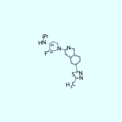 Cc1nnc(-c2ccc3cnc(N4CC[C@@H](NC(C)C)[C@H](F)C4)cc3c2)s1